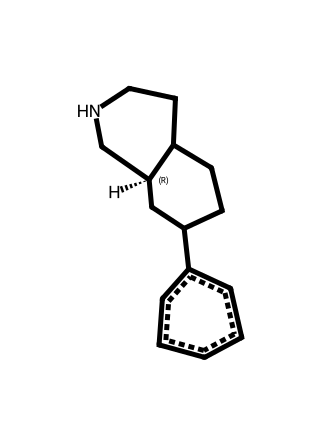 c1ccc(C2CCC3CCNC[C@@H]3C2)cc1